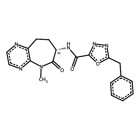 CN1C(=O)[C@@H](NC(=O)c2nnc(Cc3ccccc3)o2)CCc2nccnc21